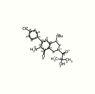 CCCCC1CN(C(=O)C(C)(C)O)Cc2c1nc(-c1ccc(Cl)cc1)n(N)c2=O